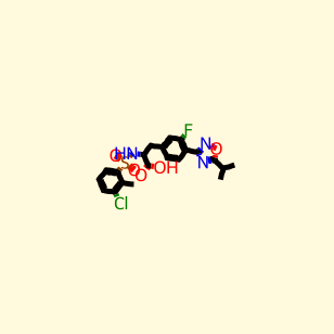 Cc1c(Cl)cccc1S(=O)(=O)NC(Cc1ccc(-c2noc(C(C)C)n2)c(F)c1)C(=O)O